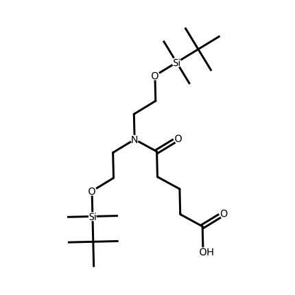 CC(C)(C)[Si](C)(C)OCCN(CCO[Si](C)(C)C(C)(C)C)C(=O)CCCC(=O)O